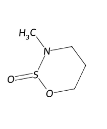 CN1CCCOS1=O